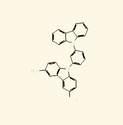 CC(C)(C)c1ccc2c(c1)c1cc(C(C)(C)C)ccc1n2-c1cccc(-n2c3ccccc3c3ccccc32)c1